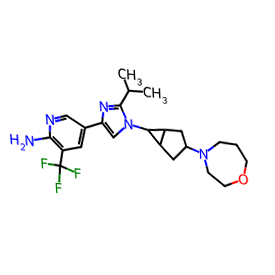 CC(C)c1nc(-c2cnc(N)c(C(F)(F)F)c2)cn1C1C2CC(N3CCCOCC3)CC21